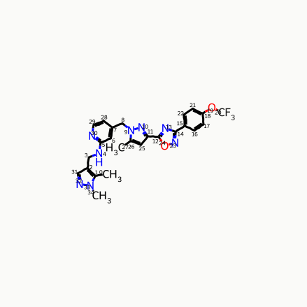 Cc1c(CNc2cc(Cn3nc(-c4nc(-c5ccc(OC(F)(F)F)cc5)no4)cc3C)ccn2)cnn1C